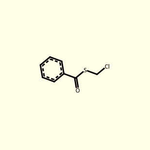 O=C(SCCl)c1ccccc1